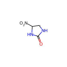 O=C1N[CH]C([N+](=O)[O-])N1